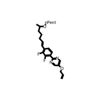 C=CCOc1cnc(-c2ccc(C=CCCCC(C)OCCCCC)c(F)c2F)nc1